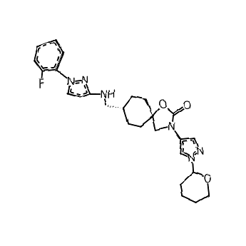 O=C1O[C@]2(CC[C@@H](CNc3ccn(-c4ccccc4F)n3)CC2)CN1c1cnn(C2CCCCO2)c1